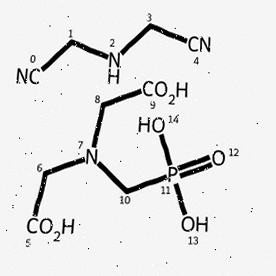 N#CCNCC#N.O=C(O)CN(CC(=O)O)CP(=O)(O)O